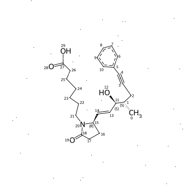 C[C@@H](CC#Cc1ccccc1)[C@H](O)C=C[C@H]1CCC(=O)N1CCCCCCC(=O)O